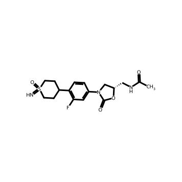 CC(=O)NC[C@H]1CN(c2ccc(C3CCS(=N)(=O)CC3)c(F)c2)C(=O)O1